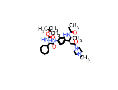 CCC(=O)N[C@H](C)[C@@H](CC(=O)N1CCN(C)CC1)c1ccc(NC(=O)[C@@H](NC(=O)OC(C)(C)C)C2CCCCCC2)cc1